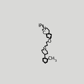 Cc1ccccc1C1CCN(CCCOc2ccc3c(c2)CCN(C(C)C)CC3)CC1